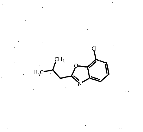 CC(C)Cc1nc2cccc(Cl)c2o1